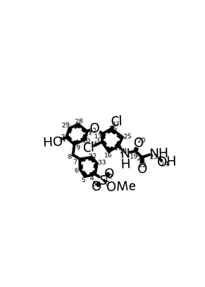 COS(=O)(=O)c1ccc(Cc2cc(Oc3c(Cl)cc(NC(=O)C(=O)NO)cc3Cl)ccc2O)cc1